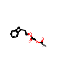 CCC(C)C(=O)OCC(=O)OCCC1Cc2ccccc21